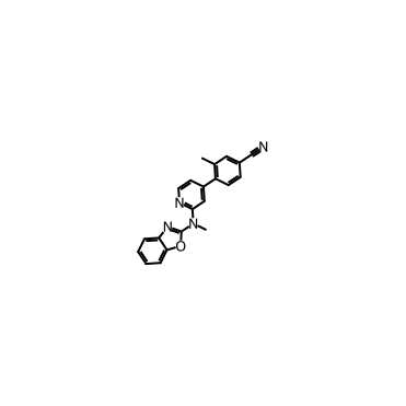 Cc1cc(C#N)ccc1-c1ccnc(N(C)c2nc3ccccc3o2)c1